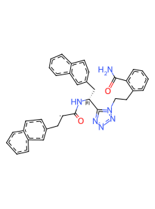 NC(=O)c1ccccc1CCn1nnnc1[C@@H](Cc1ccc2ccccc2c1)NC(=O)[CH]Cc1ccc2ccccc2c1